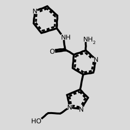 Nc1ncc(-c2cnn(CCO)c2)cc1C(=O)Nc1ccncc1